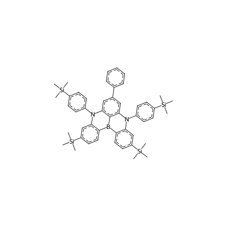 C[Si](C)(C)c1ccc(N2c3cc([Si](C)(C)C)ccc3B3c4ccc([Si](C)(C)C)cc4N(c4ccc([Si](C)(C)C)cc4)c4cc(-c5ccccc5)cc2c43)cc1